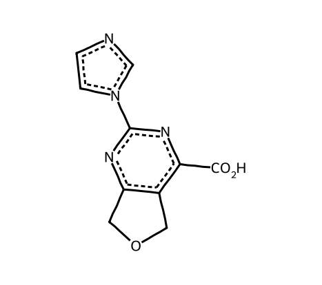 O=C(O)c1nc(-n2ccnc2)nc2c1COC2